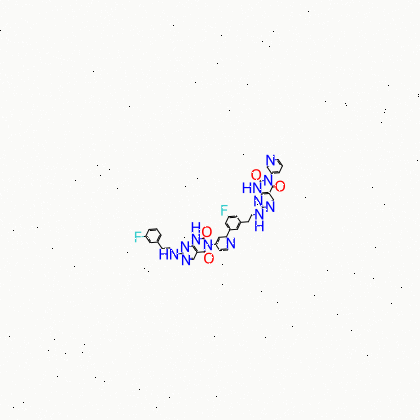 O=c1[nH]c2nc(NCCc3cc(F)cc(-c4cc(-n5c(=O)[nH]c6nc(NCCc7cccc(F)c7)ncc6c5=O)ccn4)c3)ncc2c(=O)n1-c1cccnc1